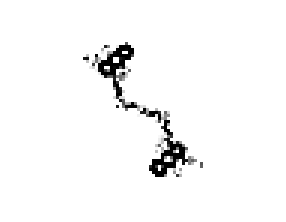 C[N+](C)(CCCNc1ccc(N)c2c1C(=O)c1ccccc1C2=O)CCSSCC[N+](C)(C)CCCNc1ccc(N)c2c1C(=O)c1ccccc1C2=O